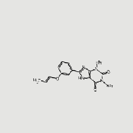 CC=COc1cccc(-c2nc3c([nH]2)c(=O)n(CCC)c(=O)n3CCC)c1